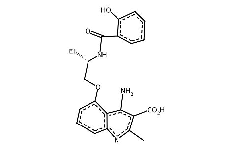 CC[C@@H](COc1cccc2nc(C)c(C(=O)O)c(N)c12)NC(=O)c1ccccc1O